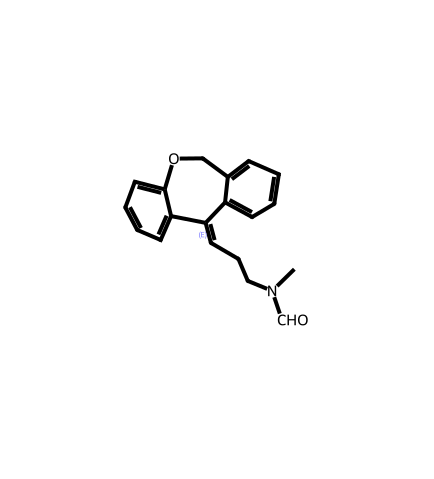 CN(C=O)CC/C=C1\c2ccccc2COc2ccccc21